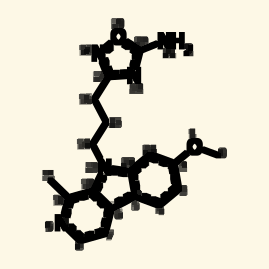 COc1ccc2c3ccnc(C)c3n(CCCc3noc(N)n3)c2c1